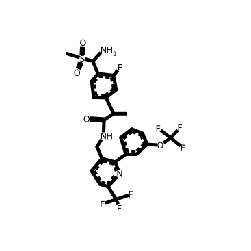 CC(C(=O)NCc1ccc(C(F)(F)F)nc1-c1cccc(OC(F)(F)F)c1)c1ccc(C(N)S(C)(=O)=O)c(F)c1